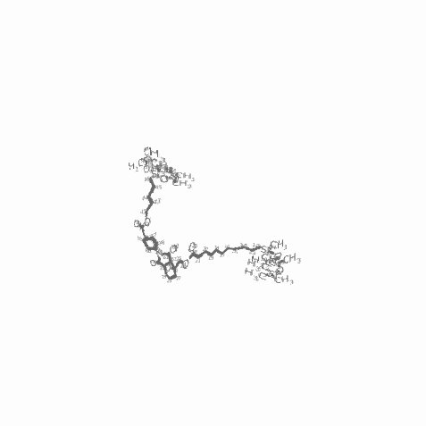 C[Si](C)(C)O[Si](C)(C)O[Si](C)(C)CCCCCCCCCCC(=O)OCC12C=CC(O1)C1C(=O)N(c3ccc(C(=O)OCCCCC[Si](C)(O[Si](C)(C)C)O[Si](C)(C)C)cc3)C(=O)C12